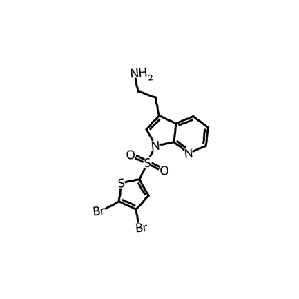 NCCc1cn(S(=O)(=O)c2cc(Br)c(Br)s2)c2ncccc12